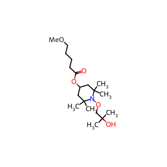 COCCCCC(=O)OC1CC(C)(C)N(OCC(C)(C)O)C(C)(C)C1